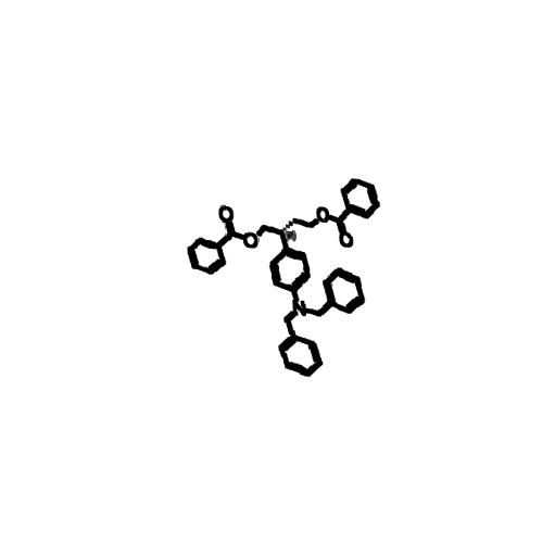 O=C(OCC[C@@H](COC(=O)c1ccccc1)c1ccc(N(Cc2ccccc2)Cc2ccccc2)cc1)c1ccccc1